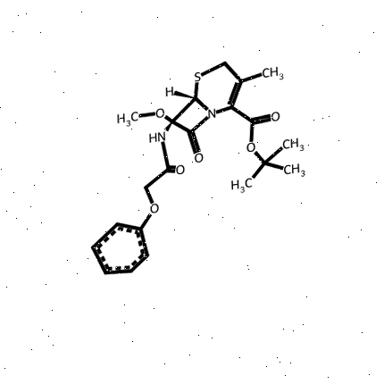 CO[C@@]1(NC(=O)COc2ccccc2)C(=O)N2C(C(=O)OC(C)(C)C)=C(C)CS[C@H]21